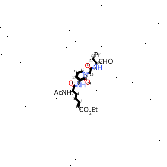 CCOC(=O)/C=C/CC[C@H](NC(C)=O)C(=O)Nc1cccn(CC(=O)N[C@@H](C=O)CC(C)C)c1=O